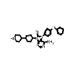 Nc1ncnc2c1n(-c1ccc(Oc3ccccc3)cc1)c(=O)n2C1CCC(C2CCNCC2)CC1